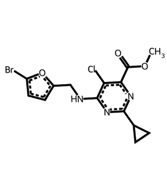 COC(=O)c1nc(C2CC2)nc(NCc2ccc(Br)o2)c1Cl